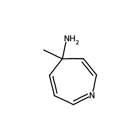 CC1(N)C=CC=NC=C1